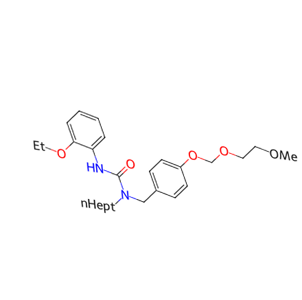 CCCCCCCN(Cc1ccc(OCOCCOC)cc1)C(=O)Nc1ccccc1OCC